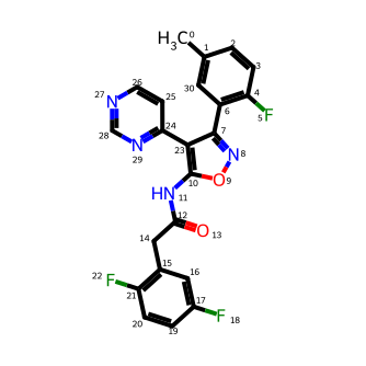 Cc1ccc(F)c(-c2noc(NC(=O)Cc3cc(F)ccc3F)c2-c2ccncn2)c1